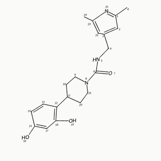 Cc1cc(CNC(=O)N2CCC(c3ccc(O)cc3O)CC2)cc(C)n1